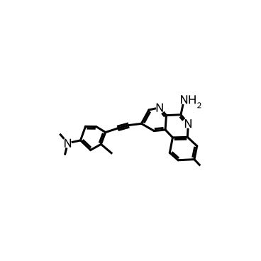 Cc1ccc2c(c1)nc(N)c1ncc(C#Cc3ccc(N(C)C)cc3C)cc12